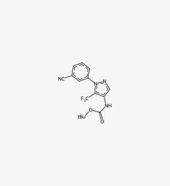 CC(C)(C)OC(=O)Nc1cnn(-c2cccc(C#N)c2)c1C(F)(F)F